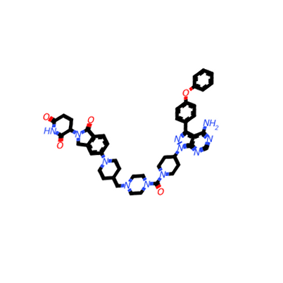 Nc1ncnc2c1c(-c1ccc(Oc3ccccc3)cc1)nn2C1CCN(C(=O)N2CCN(CC3CCN(c4ccc5c(c4)CN(C4CCC(=O)NC4=O)C5=O)CC3)CC2)CC1